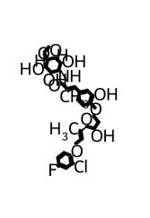 CC(=Cc1ccc(O[C@H]2C[C@H](O)[C@@H](C(C)=CCOc3ccc(F)cc3Cl)O2)c(O)c1)C(=O)N[C@@H]1[C@H](O)[C@@H](O)[C@H]2OCO[C@H]2[C@@H]1O